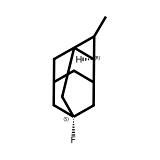 CC1[C@H]2C3CC4CC12C[C@](F)(C4)C3